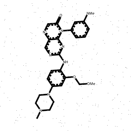 CNc1cccc(-n2c(=O)cnc3cnc(Nc4ccc(N5CCN(C)CC5)cc4OCOC)nc32)c1